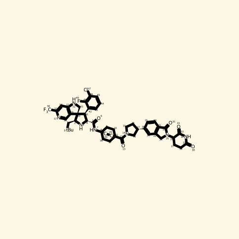 CC(C)(C)C[C@@H]1N[C@@H](C(=O)NC23CCC(C(=O)N4CC[C@H](c5ccc6c(c5)CN(C5CCC(=O)NC5=O)C6=O)C4)(CC2)CC3)[C@H](c2cccc(Cl)c2F)[C@]12CNc1cc(C(F)(F)F)ncc12